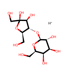 OC[C@H]1O[C@@H](O[C@@H]2[C@@H](CO)O[C@](O)(CO)[C@H]2O)[C@H](O)[C@@H](O)[C@H]1O.[H+]